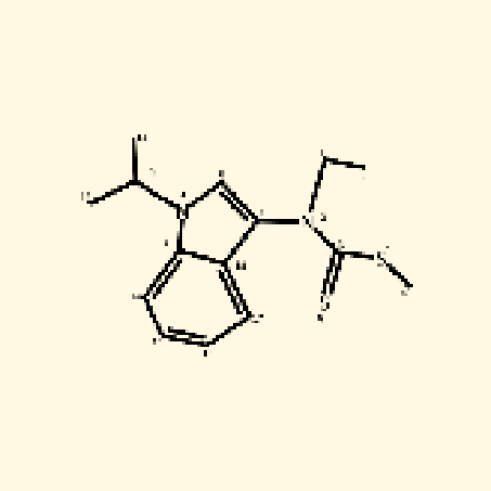 CCN(C(=S)SC)c1cn(C(C)C)c2ccccc12